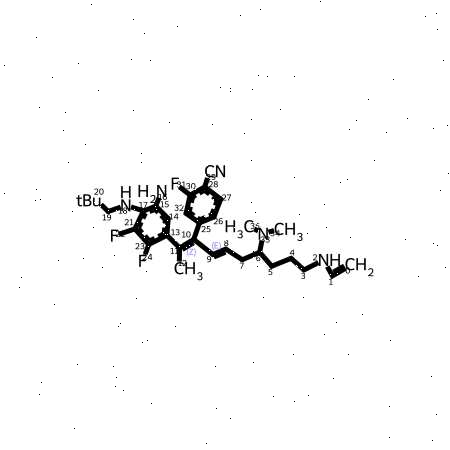 C=CNCCCC(C/C=C/C(=C(\C)c1cc(N)c(NCC(C)(C)C)c(F)c1F)c1ccc(C#N)c(F)c1)N(C)C